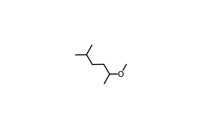 COC(C)CCC(C)C